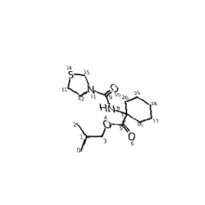 CC(C)COC(=O)C1(NC(=O)N2CCSC2)CCCCC1